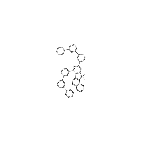 C[Si]1(C)c2nc(-c3cccc(-c4cccc(-c5ccccc5)c4)c3)nc(-c3cccc(-c4cccc(-c5ccccc5)c4)c3)c2-c2ccc3ccccc3c21